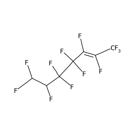 FC(=C(F)C(F)(F)C(F)(F)C(F)C(F)F)C(F)(F)F